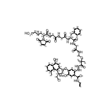 C=CNC(=O)c1cc(OC)c(ON2C[C@@H](CCl)c3c2cc(O)c2cccc(C)c32)cc1NNC(=O)C(C)(C)OCNC(=O)CNC(=O)[C@H](Cc1ccccc1)NC(=O)CNC(=O)CNC(=O)[C@H](CNCC(=O)O)N1C(=O)C=CC1=O